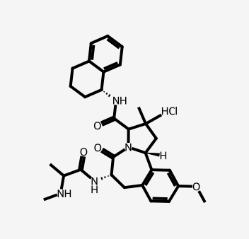 CNC(C)C(=O)N[C@H]1Cc2ccc(OC)cc2[C@H]2CC(C)(C)C(C(=O)N[C@@H]3CCCc4ccccc43)N2C1=O.Cl